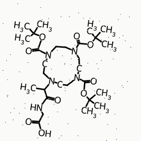 CC(C(=O)NCC(=O)O)N1CCN(C(=O)OC(C)(C)C)CCN(C(=O)OC(C)(C)C)CCN(C(=O)OC(C)(C)C)CC1